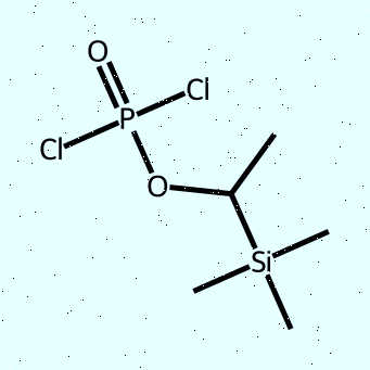 CC(OP(=O)(Cl)Cl)[Si](C)(C)C